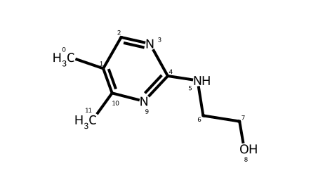 Cc1cnc(NCCO)nc1C